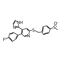 C[S+]([O-])c1ccc(CSc2cc(-c3ncc[nH]3)c(-c3ccc(F)cc3)cn2)cc1